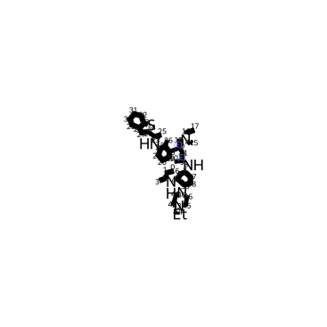 C=CC(=C)Nc1cc(N/C(C)=C/C(=C\N(C)C=C)c2cccc(NC(=C)c3cc4ccccc4s3)c2C)ccc1N1CCN(CC)CC1